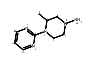 CC1CN(N)CCN1c1ncccn1